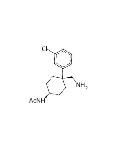 CC(=O)N[C@H]1CC[C@](CN)(c2cccc(Cl)c2)CC1